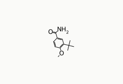 COc1ccc(C(N)=O)cc1C(C)(C)C